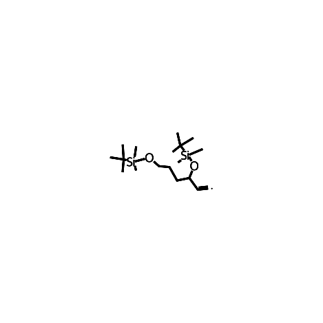 [CH]=CC(CCCO[Si](C)(C)C(C)(C)C)O[Si](C)(C)C(C)(C)C